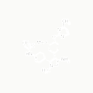 C=CC(=O)Nc1ccc(-c2c(-c3ccc(Oc4nccc(C)n4)c(OC)c3)c(N)cn2C)cc1